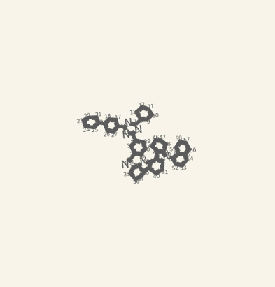 N#Cc1cc(-c2nc(-c3ccccc3)nc(-c3ccc(-c4ccccc4)cc3)n2)ccc1-n1c2ccccc2c2ccc3c(c4ccccc4n3-c3cccc4ccccc34)c21